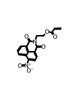 C=CC(=O)OCCN1C(=O)c2cccc3c([N+](=O)[O-])ccc(c23)C1=O